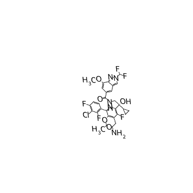 CCOc1c(-c2ccc(F)c(Cl)c2F)nc([C@@](O)(CNC(=O)c2cc(OC)c3nn(C(F)F)cc3c2)C2CC2)c(F)c1CC(N)=O